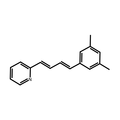 Cc1cc(C)cc(C=CC=Cc2ccccn2)c1